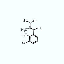 CC(c1cccc(C#N)c1C(F)(F)F)N(C)[S@+]([O-])C(C)(C)C